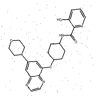 O=C(NC1CCC(Oc2cc(N3CCOCC3)cc3nccnc23)CC1)c1ncccc1O